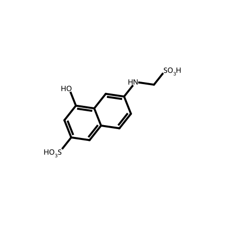 O=S(=O)(O)CNc1ccc2cc(S(=O)(=O)O)cc(O)c2c1